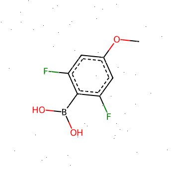 COc1cc(F)c(B(O)O)c(F)c1